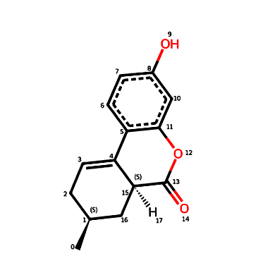 C[C@H]1CC=C2c3ccc(O)cc3OC(=O)[C@H]2C1